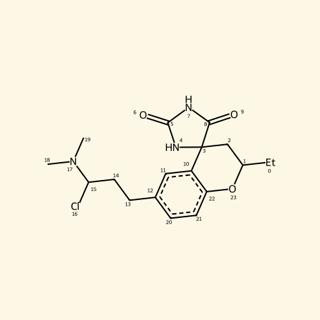 CCC1CC2(NC(=O)NC2=O)c2cc(CCC(Cl)N(C)C)ccc2O1